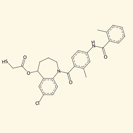 Cc1ccccc1C(=O)Nc1ccc(C(=O)N2CCCC(OC(=O)CS)c3cc(Cl)ccc32)c(C)c1